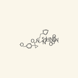 COCc1ccc(C2(C(=O)N(CCCc3ccccc3)Cc3nc(C(=O)NS(=O)(=O)N(C)C)c(C)s3)CC2)cc1